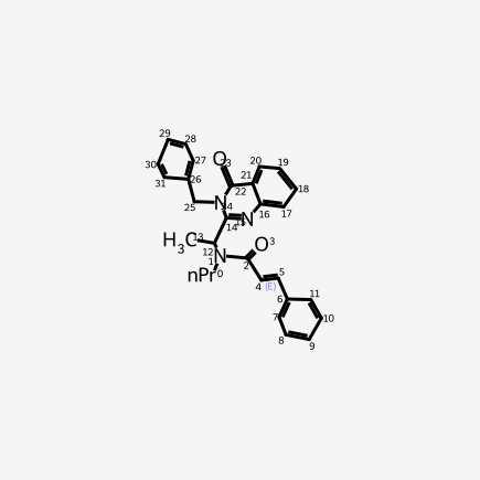 CCCN(C(=O)/C=C/c1ccccc1)C(C)c1nc2ccccc2c(=O)n1Cc1ccccc1